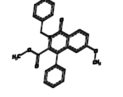 COC(=O)c1c(-c2ccccc2)c2cc(OC)ccc2c(=O)n1Cc1ccccc1